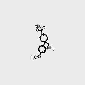 CC(C)(C)OC(=O)N1CCC(CN)(c2ccc(OC(F)(F)F)cc2)CC1